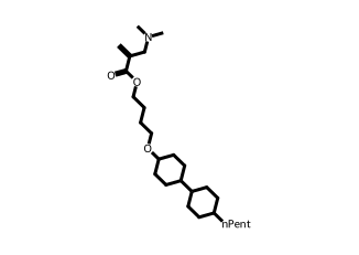 C=C(CN(C)C)C(=O)OCCCCOC1CCC(C2CCC(CCCCC)CC2)CC1